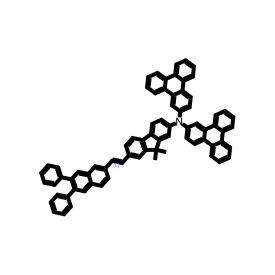 CC1(C)c2cc(/C=C/c3ccc4cc(-c5ccccc5)c(-c5ccccc5)cc4c3)ccc2-c2ccc(N(c3ccc4c5ccccc5c5ccccc5c4c3)c3ccc4c5ccccc5c5ccccc5c4c3)cc21